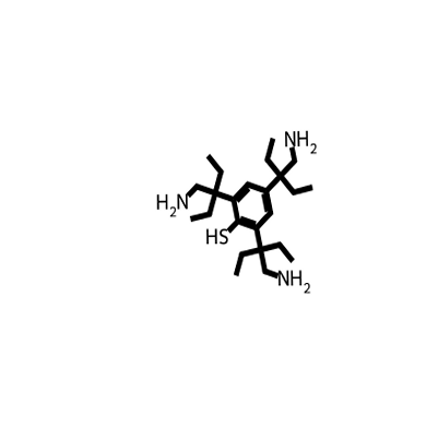 CCC(CC)(CN)c1cc(C(CC)(CC)CN)c(S)c(C(CC)(CC)CN)c1